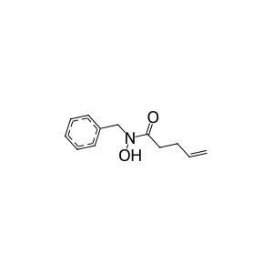 C=CCCC(=O)N(O)Cc1ccccc1